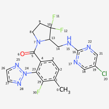 Cc1ccc(C(=O)N2CCC(F)(F)C2CNc2ncc(Cl)cn2)c(-n2nccn2)c1F